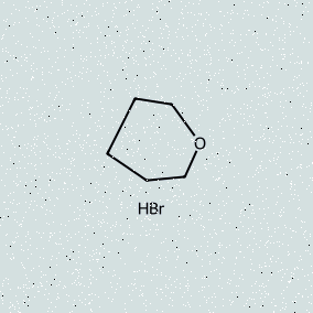 Br.C1CCOCC1